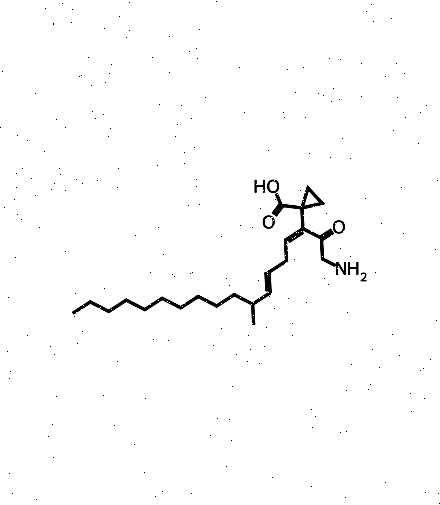 CCCCCCCCCCC(C)C=CCC=C(C(=O)CN)C1(C(=O)O)CC1